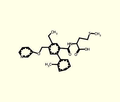 CCc1cc(C(=O)NC(CCSC)C(=O)O)c(-c2ccccc2C)cc1COc1cccnc1